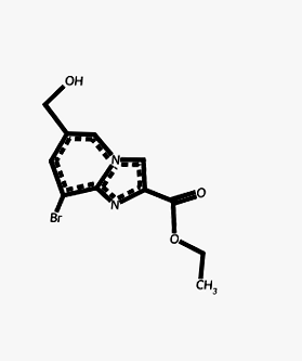 CCOC(=O)c1cn2cc(CO)cc(Br)c2n1